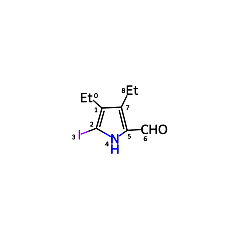 CCc1c(I)[nH]c(C=O)c1CC